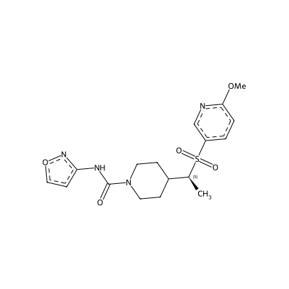 COc1ccc(S(=O)(=O)[C@@H](C)C2CCN(C(=O)Nc3ccon3)CC2)cn1